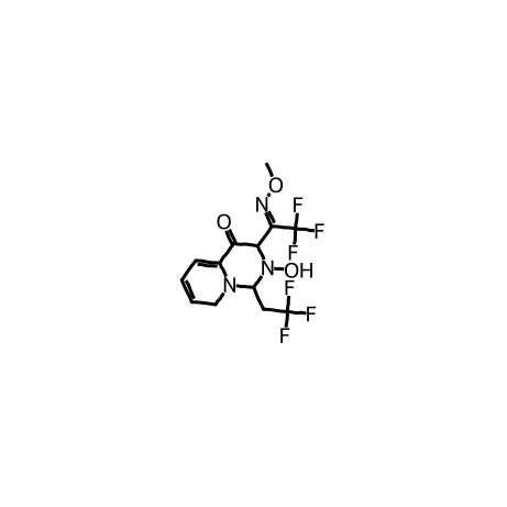 CON=C(C1C(=O)C2=CC=CCN2C(CC(F)(F)F)N1O)C(F)(F)F